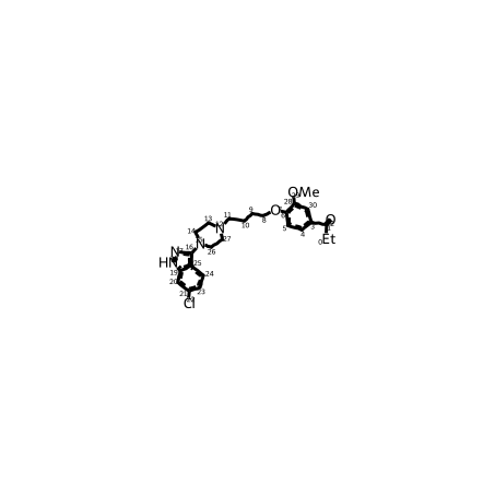 CCC(=O)c1ccc(OCCCCN2CCN(c3n[nH]c4cc(Cl)ccc34)CC2)c(OC)c1